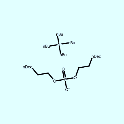 CCCCCCCCCCCCOP(=O)([O-])OCCCCCCCCCCCC.CCCC[N+](CCCC)(CCCC)CCCC